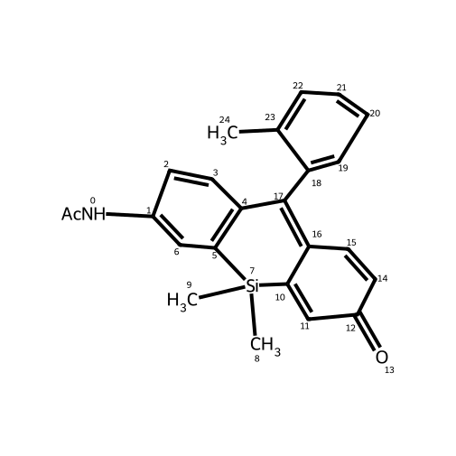 CC(=O)Nc1ccc2c(c1)[Si](C)(C)C1=CC(=O)C=CC1=C2c1ccccc1C